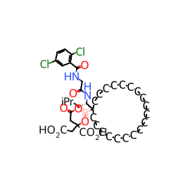 CC(C)C[C@H](NC(=O)CNC(=O)c1cc(Cl)ccc1Cl)C1(B2OC(=O)CC(CC(=O)O)(C(=O)O)O2)CCCCCCCCCCCCCCCCCCC1